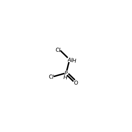 O=[PH](Cl)[AlH][Cl]